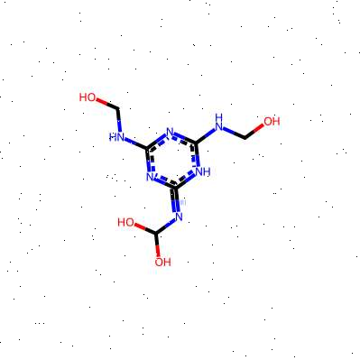 OCNc1nc(NCO)[nH]/c(=N/C(O)O)n1